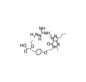 CCCc1nn(C)c2c(=O)n(CCOc3ccc(CC(OCC)C(=O)O)cc3)c(C)nc12.N=C(N)NN